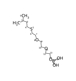 CC(C)CCSCCOCCOCCOB(O)O